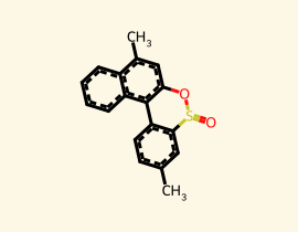 Cc1ccc2c(c1)S(=O)Oc1cc(C)c3ccccc3c1-2